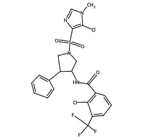 Cn1cnc(S(=O)(=O)N2CC(NC(=O)c3cccc(C(F)(F)F)c3Cl)C(c3ccccc3)C2)c1Cl